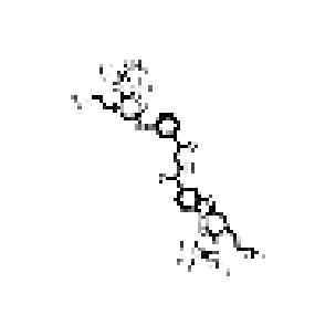 CCCN(CC(=O)Nc1cccc(C(=O)CNC(=O)c2ccc3[nH]c(CN(CCC)C(=O)OC(C)(C)C)nc3c2)c1)C(=O)OC(C)(C)C